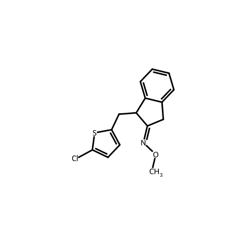 CON=C1Cc2ccccc2C1Cc1ccc(Cl)s1